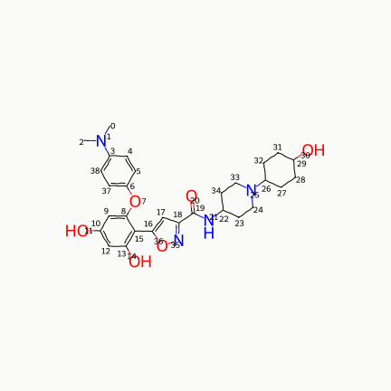 CN(C)c1ccc(Oc2cc(O)cc(O)c2-c2cc(C(=O)NC3CCN(C4CCC(O)CC4)CC3)no2)cc1